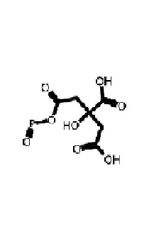 O=POC(=O)CC(O)(CC(=O)O)C(=O)O